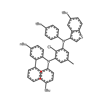 CCCCc1ccc(N(c2ccc(C(C)(C)C)cc2)c2cc(C)cc(N(c3ccc(C(C)(C)C)cc3)c3csc4ccc(C(C)(C)C)cc34)c2Cl)c(-c2ccccc2)c1